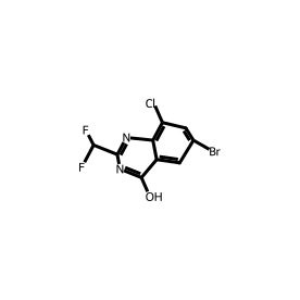 Oc1nc(C(F)F)nc2c(Cl)cc(Br)cc12